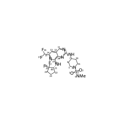 CNS(=O)(=O)N1CCC(Nc2ncc3cc(C(F)F)nc(N[C@@H]4CCCC4(F)F)c3n2)CC1